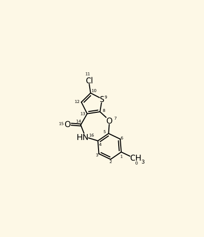 Cc1ccc2c(c1)Oc1sc(Cl)cc1C(=O)N2